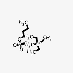 CCCCOS(=O)(=O)[O-].CC[P+](C)(CC)CC